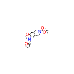 CC(C)(C)OC(=O)N1CCc2cc3c(cc2CC1)N(C[C@@H]1CCCO1)CCO3